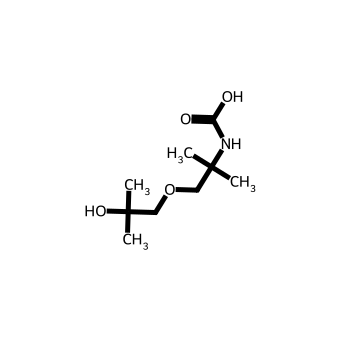 CC(C)(O)COCC(C)(C)NC(=O)O